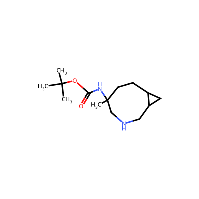 CC1(NC(=O)OC(C)(C)C)CCC2CC2CNC1